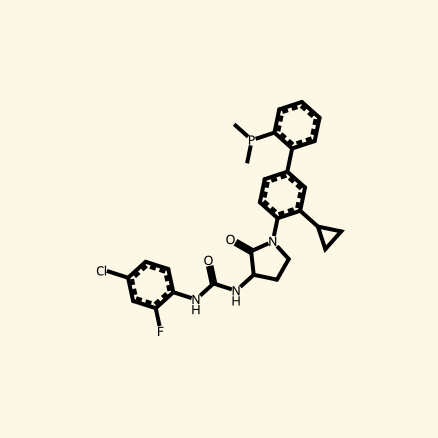 CP(C)c1ccccc1-c1ccc(N2CCC(NC(=O)Nc3ccc(Cl)cc3F)C2=O)c(C2CC2)c1